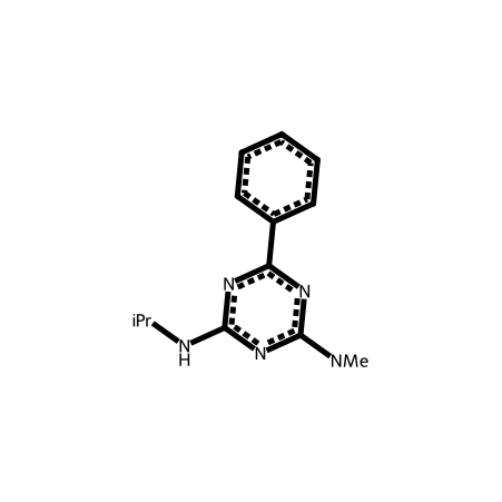 CNc1nc(NC(C)C)nc(-c2ccccc2)n1